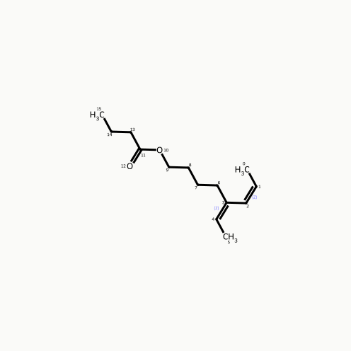 C/C=C\C(=C/C)CCCCOC(=O)CCC